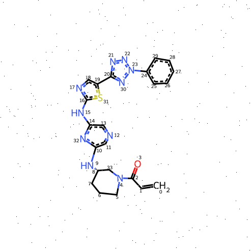 C=CC(=O)N1CCC[C@H](Nc2cncc(Nc3ncc(-c4nnn(-c5ccccc5)n4)s3)n2)C1